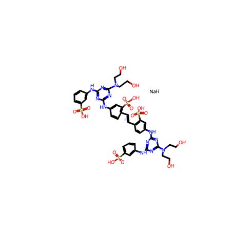 O=S(=O)(O)c1cccc(Nc2nc(Nc3ccc(/C=C/c4ccc(Nc5nc(Nc6cccc(S(=O)(=O)O)c6)nc(N(CCO)CCO)n5)cc4S(=O)(=O)O)c(S(=O)(=O)O)c3)nc(N(CCO)CCO)n2)c1.[NaH]